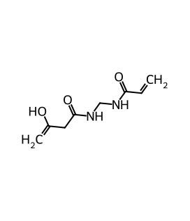 C=CC(=O)NCNC(=O)CC(=C)O